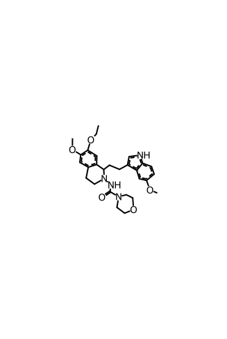 CCOc1cc2c(cc1OC)CCN(NC(=O)N1CCOCC1)C2CCc1c[nH]c2ccc(OC)cc12